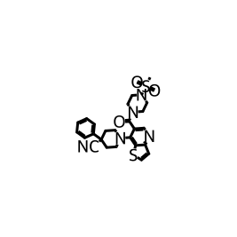 CS(=O)(=O)N1CCN(C(=O)c2cnc3ccsc3c2N2CCC(C#N)(c3ccccc3)CC2)CC1